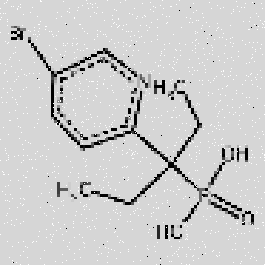 CCC(CC)(c1ccc(Br)cn1)P(=O)(O)O